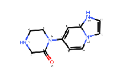 O=C1CNCCN1C1=CC2NC=CN2C=C1